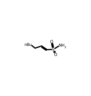 CCCCC/C=C/S(N)(=O)=O